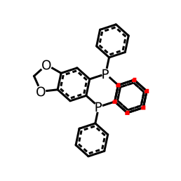 c1ccc(P(c2ccccc2)c2cc3c(cc2P(c2ccccc2)c2ccccc2)OCO3)cc1